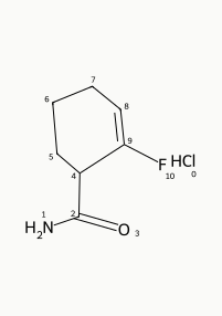 Cl.NC(=O)C1CCCC=C1F